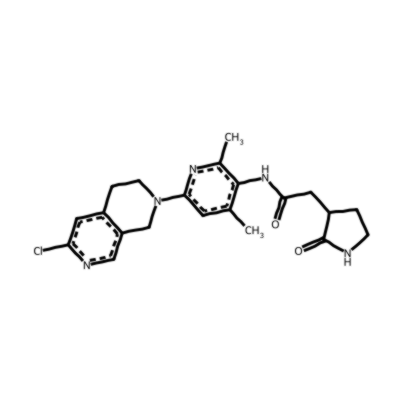 Cc1cc(N2CCc3cc(Cl)ncc3C2)nc(C)c1NC(=O)CC1CCNC1=O